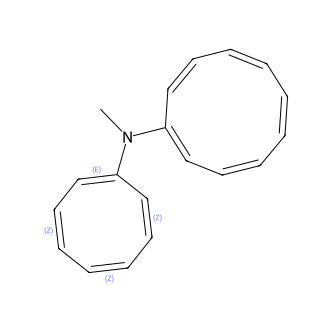 CN(C1=C/C=C\C=C/C=C\1)c1ccccccccc1